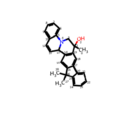 CC1(O)CN2c3ccccc3C=CC2c2cc3c(cc21)-c1ccccc1C3(C)C